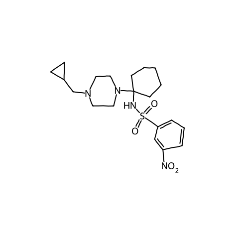 O=[N+]([O-])c1cccc(S(=O)(=O)NC2(N3CCN(CC4CC4)CC3)CCCCC2)c1